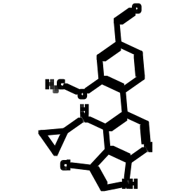 COc1cc(C=O)ccc1-c1cnc2[nH]cc(Cl)c2c1NC1CC1